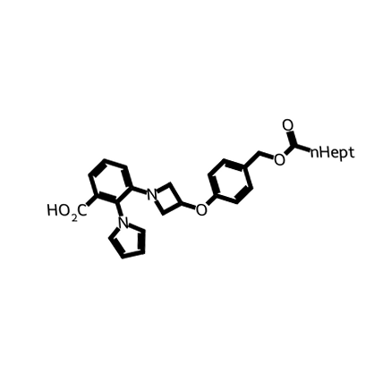 CCCCCCCC(=O)OCc1ccc(OC2CN(c3cccc(C(=O)O)c3-n3cccc3)C2)cc1